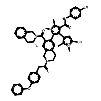 Cc1c(-c2c(C(=O)Nc3ccc(O)cc3)c(C)n(C)c2-c2cc3c(cc2C(=O)N2Cc4ccccc4C[C@H]2C)CN(C(=O)Cc2ccc(Oc4ccccc4)cc2)CC3)cc(C#N)n1C